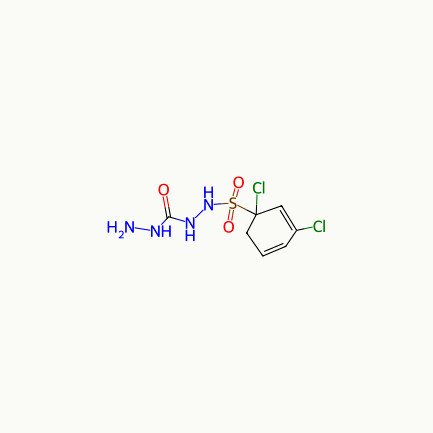 NNC(=O)NNS(=O)(=O)C1(Cl)C=C(Cl)C=CC1